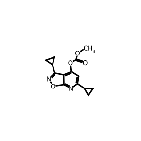 COC(=O)Oc1cc(C2CC2)nc2onc(C3CC3)c12